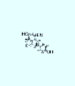 N#CC1=CC(O)C(=O)C2=C(Cl)CN(c3ccc(O)cc3)C=C12